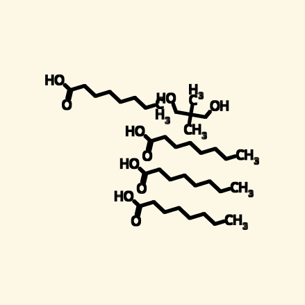 CC(C)(CO)CO.CCCCCCCC(=O)O.CCCCCCCC(=O)O.CCCCCCCC(=O)O.CCCCCCCC(=O)O